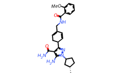 COc1ccccc1C(=O)NCC1=CCC(c2nn([C@H]3CC[C@H](C)C3)c(N)c2C(N)=O)C=C1